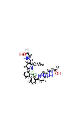 COc1nc(-c2cccc(-c3cccc(-c4ccc5nc(CNC[C@@H](C)O)cn5n4)c3Cl)c2Cl)ccc1CNC[C@@H](C)O